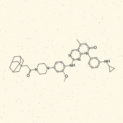 COc1cc(N2CCN(C(=O)CC34CC5CC(CC(C5)C3)C4)CC2)ccc1Nc1ncc2c(C)cc(=O)n(-c3cccc(NC4CC4)c3)c2n1